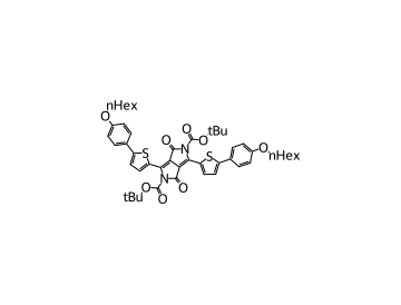 CCCCCCOc1ccc(-c2ccc(C3=C4C(=O)N(C(=O)OC(C)(C)C)C(c5ccc(-c6ccc(OCCCCCC)cc6)s5)=C4C(=O)N3C(=O)OC(C)(C)C)s2)cc1